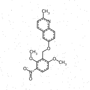 COc1ccc([N+](=O)[O-])c(OC)c1COc1ccc2nc(C)ccc2c1